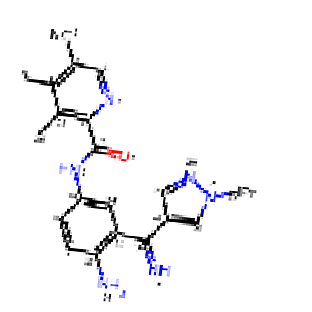 Cc1c(C#N)cnc(C(=O)Nc2ccc(N)c(C(=N)c3cnn(C(C)C)c3)c2)c1C